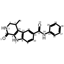 CC1CNC(=O)c2[nH]c3ccc(C(=O)Nc4ccccc4)cc3c21